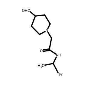 CC(C)C(C)NC(=O)CN1CCC(C=O)CC1